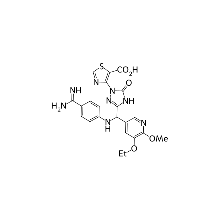 CCOc1cc(C(Nc2ccc(C(=N)N)cc2)c2nn(-c3ncsc3C(=O)O)c(=O)[nH]2)cnc1OC